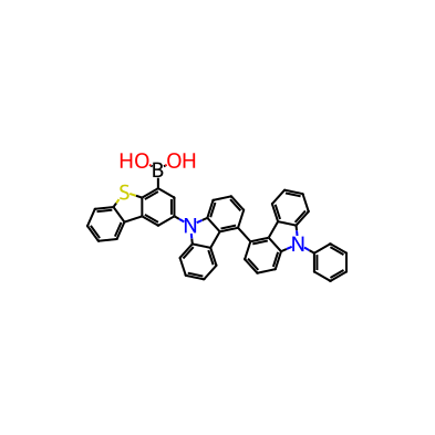 OB(O)c1cc(-n2c3ccccc3c3c(-c4cccc5c4c4ccccc4n5-c4ccccc4)cccc32)cc2c1sc1ccccc12